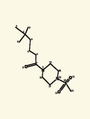 CC(C)(C)CCCC(=O)N1CCN(S(C)(=O)=O)CC1